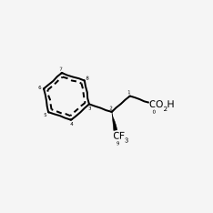 O=C(O)C[C@H](c1ccccc1)C(F)(F)F